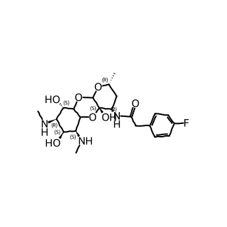 CN[C@@H]1[C@H](O)[C@H](NC)C2O[C@]3(O)C(OC2[C@H]1O)O[C@H](C)C[C@H]3NC(=O)Cc1ccc(F)cc1